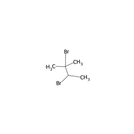 [CH2]C(C)(Br)C(C)Br